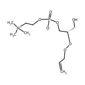 C=CCOO[C@@H](CO)COP(=O)([O-])OCC[N+](C)(C)C